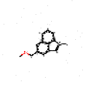 COCc1cc2c3c(cccc3c1)C(C)=C2